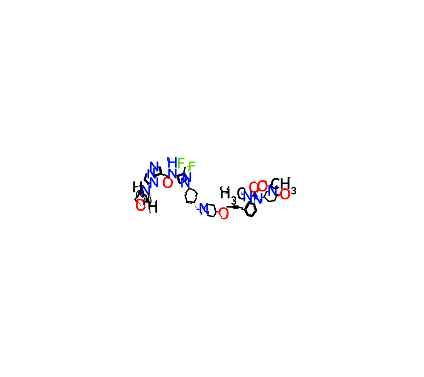 CN1C(=O)CCC(n2c(=O)n(C)c3c(C#CCOC4CCN(C[C@H]5CC[C@H](n6cc(NC(=O)c7cnn8ccc(N9C[C@H]%10C[C@@H]9CO%10)nc78)c(C(F)F)n6)CC5)CC4)cccc32)C1=O